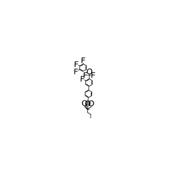 CCCC12COC(c3ccc(-c4ccc(C(F)(F)Oc5cc(F)c(F)c(F)c5)c(F)c4)cc3)(OC1)OC2